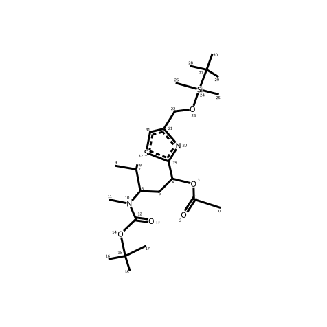 CC(=O)OC(CC(C(C)C)N(C)C(=O)OC(C)(C)C)c1nc(CO[Si](C)(C)C(C)(C)C)cs1